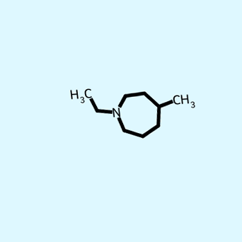 CCN1CCCC(C)CC1